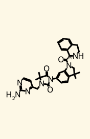 CC1(C)CN(C(=O)[C@@H]2NCCc3ccccc32)c2cc(N3C(=O)N(Cc4ccnc(N)n4)C(C)(C)C3=O)ccc21